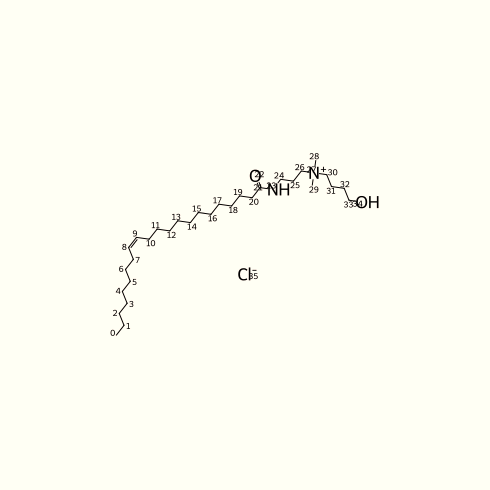 CCCCCCCC/C=C\CCCCCCCCCCCC(=O)NCCC[N+](C)(C)CCCCO.[Cl-]